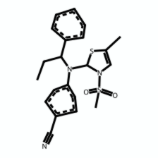 CCC(c1ccccc1)N(c1ccc(C#N)cc1)C1SC(C)=CN1S(C)(=O)=O